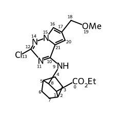 CCOC(=O)C1C2CCC(CC2)C1Nc1nc(Cl)nn2cc(COC)cc12